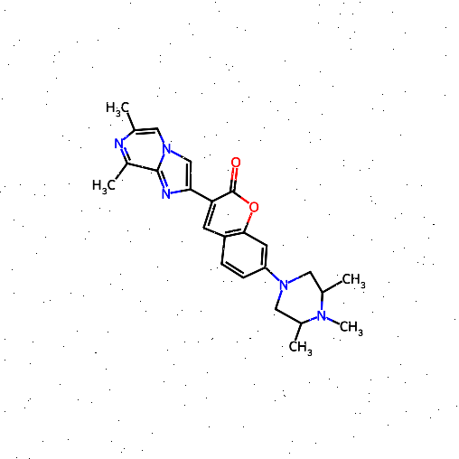 Cc1cn2cc(-c3cc4ccc(N5CC(C)N(C)C(C)C5)cc4oc3=O)nc2c(C)n1